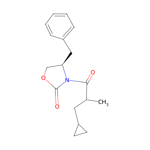 CC(CC1CC1)C(=O)N1C(=O)OC[C@H]1Cc1ccccc1